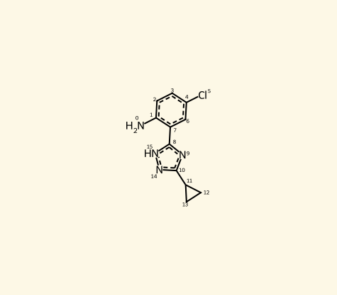 Nc1ccc(Cl)cc1-c1nc(C2CC2)n[nH]1